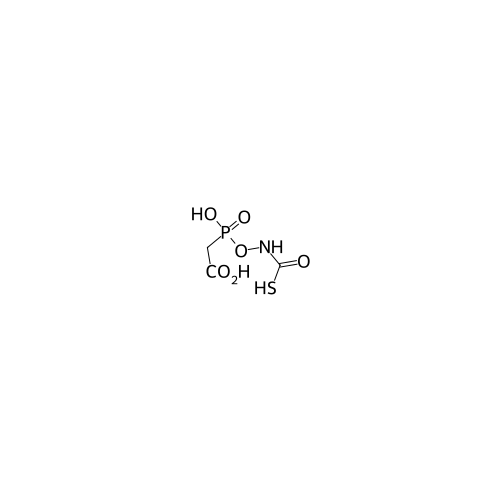 O=C(O)CP(=O)(O)ONC(=O)S